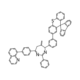 C=C1CC(c2ccc(-c3cccc4cccnc34)cc2)=NC(c2ccccc2)=NC1c1cccc(-c2ccc3c(c2)C2(c4ccccc4S3)c3ccccc3-c3ccccc32)c1